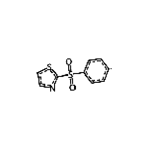 O=S(=O)(c1cc[c]cc1)c1nccs1